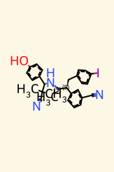 C[C@H](NC(c1ccc(O)cc1)C(C)(C)C#N)[C@@H](Cc1ccc(I)cc1)c1cccc(C#N)c1